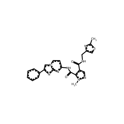 Cc1nc(CNC(=O)c2cnn(C)c2C(=O)Nc2ccn3cc(-c4ccccc4)nc3n2)cs1